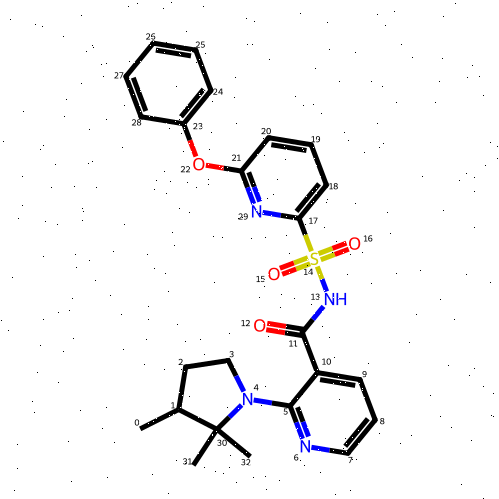 CC1CCN(c2ncccc2C(=O)NS(=O)(=O)c2cccc(Oc3ccccc3)n2)C1(C)C